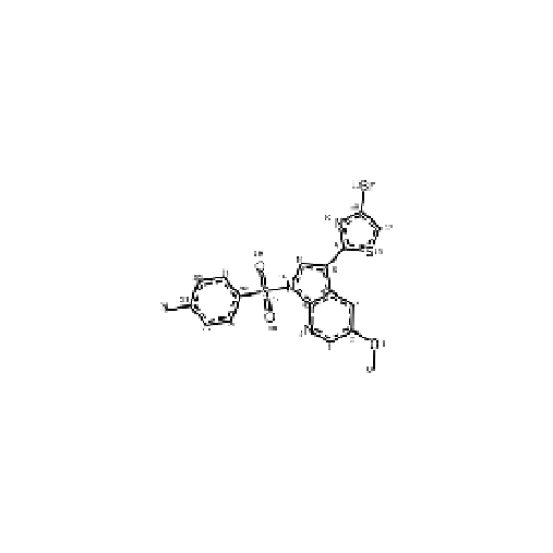 COc1cnc2c(c1)c(-c1nc(Br)cs1)cn2S(=O)(=O)c1ccc(C)cc1